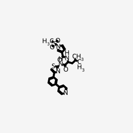 CC(C)CC(NC(=O)c1ccn(S(C)(=O)=O)c1)C(=O)Nc1nc(-c2cccc(-c3ccncc3)c2)cs1